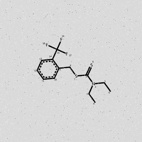 CCN(CC)C(=S)SCc1ccccc1C(F)(F)F